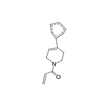 C=CC(=O)N1CC=C(c2ccccc2)CC1